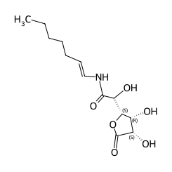 CCCCCC=CNC(=O)C(O)[C@H]1OC(=O)[C@@H](O)[C@H]1O